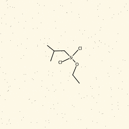 CCO[Si](Cl)(Cl)CC(C)C